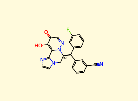 N#Cc1cccc(C(c2cccc(F)c2)[C@H]2Cn3ccnc3-c3c(O)c(=O)cnn32)c1